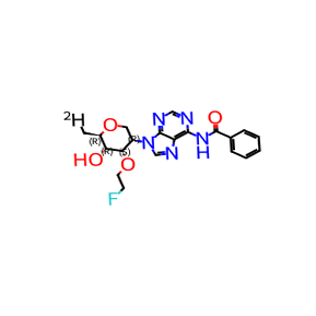 [2H]C[C@H]1OC[C@@H](n2cnc3c(NC(=O)c4ccccc4)ncnc32)[C@H](OCCF)[C@@H]1O